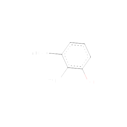 CCCCCCCc1cccc(O)c1CCCCCCC